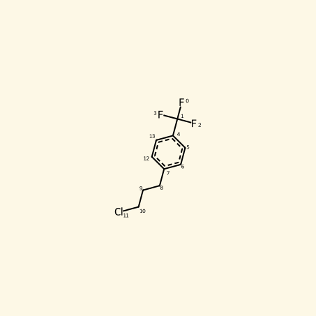 FC(F)(F)c1ccc(CCCCl)cc1